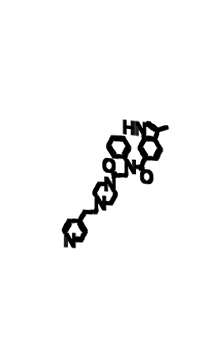 Cc1c[nH]c2cc(C(=O)N(CC(=O)N3CCN(CCc4ccncc4)CC3)c3ccccc3)ccc12